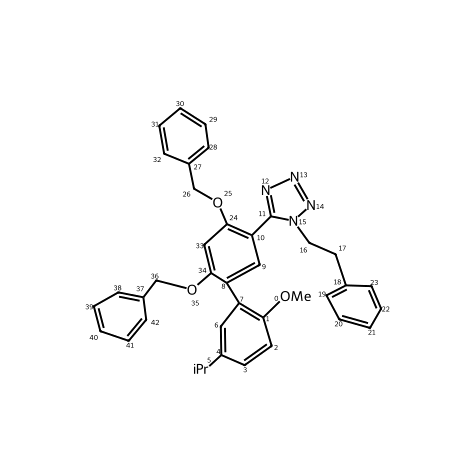 COc1ccc(C(C)C)cc1-c1cc(-c2nnnn2CCc2ccccc2)c(OCc2ccccc2)cc1OCc1ccccc1